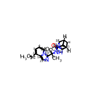 C[Se]c1cccn2c(C(C)(C)NC(=O)C3[C@@H]4C[C@H]3CN(C(=O)O)C4)ncc12